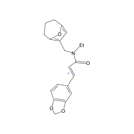 CCN(Cc1cc2oc1CCC2)C(=O)/C=C/c1ccc2c(c1)OCO2